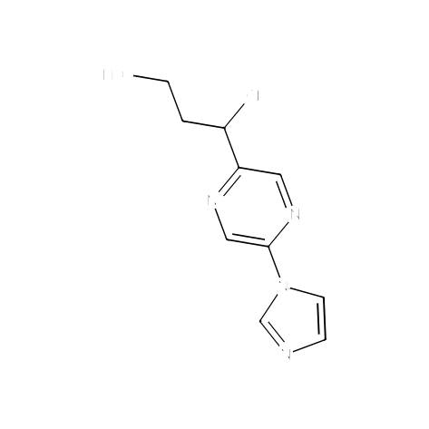 CCCC(C)c1cnc(-n2ccnc2)cn1